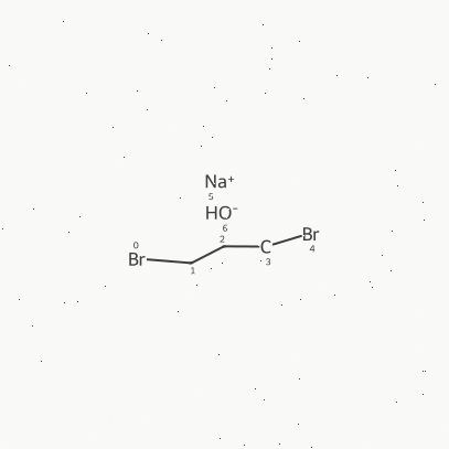 BrCCCBr.[Na+].[OH-]